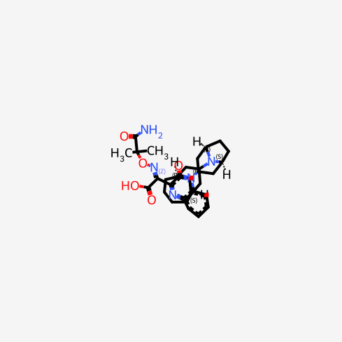 CC(C)(O/N=C(\C(=O)O)c1nc2ccccc2n([C@H]2C[C@H]3CC[C@@H](C2)N3C2C[C@H]3CCCC[C@@H](C2)C3)c1=O)C(N)=O